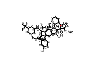 CC[C@]12C=CCN3CC[C@@]4(c5cc([C@@]6(C(=O)OC)C[C@H]7CC(C(C)(F)F)CN(CCc8c6[nH]c6ccc(I)cc86)C7)c(OC)cc5N(C)[C@H]4[C@@](O)(C(=O)OC)[C@@H]1O)[C@@H]32